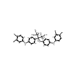 Cc1ccc(Oc2ccc(OC(c3ccc(Oc4ccc(C)c(C)c4)cc3)(C(F)(F)F)C(F)(F)F)cc2)cc1C